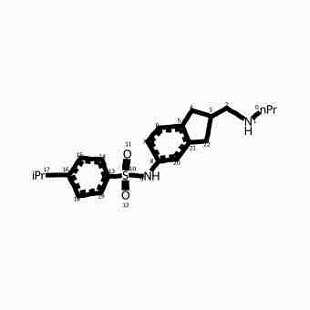 CCCNCC1Cc2ccc(NS(=O)(=O)c3ccc(C(C)C)cc3)cc2C1